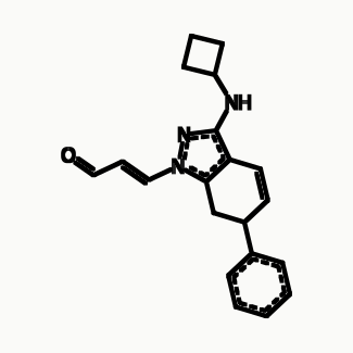 O=CC=Cn1nc(NC2CCC2)c2c1CC(c1ccccc1)C=C2